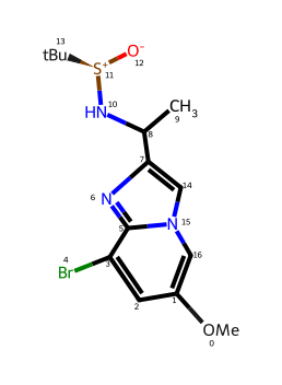 COc1cc(Br)c2nc(C(C)N[S@+]([O-])C(C)(C)C)cn2c1